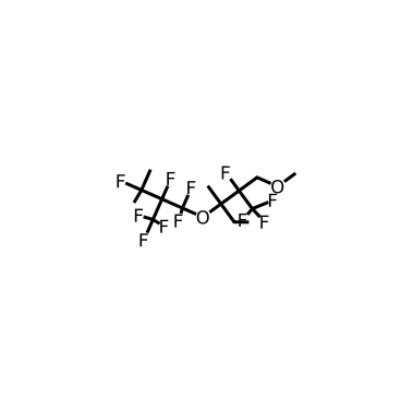 CCC(C)(OC(F)(F)C(F)(C(C)(C)F)C(F)(F)F)C(F)(COC)C(F)(F)F